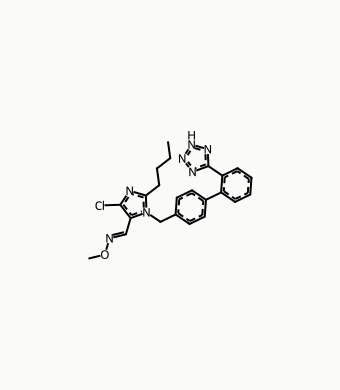 CCCCc1nc(Cl)c(C=NOC)n1Cc1ccc(-c2ccccc2-c2nn[nH]n2)cc1